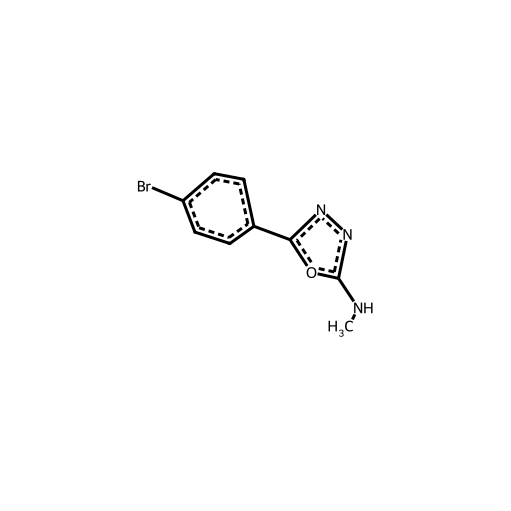 CNc1nnc(-c2ccc(Br)cc2)o1